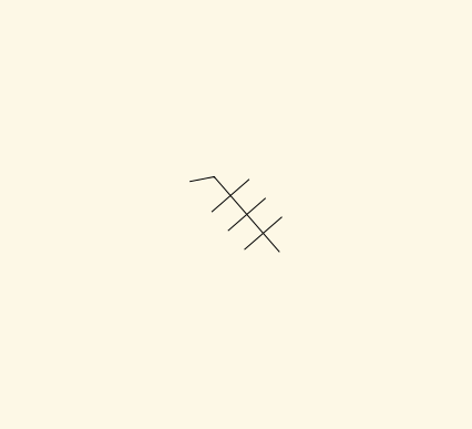 CCC(C)(C)C(C)(C)C(C)(C)C